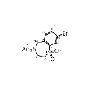 CC(=O)N1CCS(=O)(=O)c2cc(Br)ccc2C1